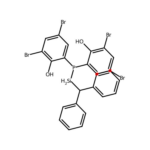 Oc1c(Br)cc(Br)cc1P([SiH2]C(c1ccccc1)c1ccccc1)c1cc(Br)cc(Br)c1O